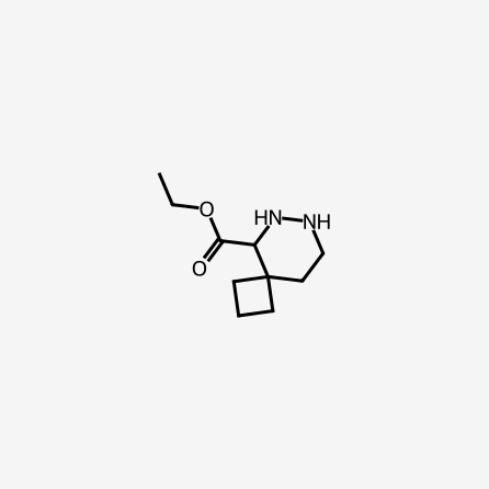 CCOC(=O)C1NNCCC12CCC2